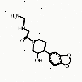 NCNCC(=O)N1CCC(c2ccc3c(c2)OCO3)C(O)C1